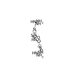 N=C(N)NCCCN1CCC(n2cc3c(nc2=S)Nc2cc(C4CCN(C(=O)CNC(=N)N)CC4)ccc2O3)CC1